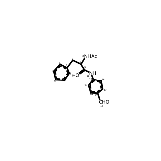 CC(=O)NC(Cc1ccccc1)C(=O)Nc1ccc(C=O)cc1